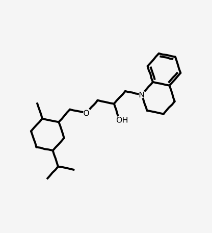 CC(C)C1CCC(C)C(COCC(O)CN2CCCc3ccccc32)C1